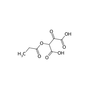 CCC(=O)OC(C(=O)O)C(=O)C(=O)O